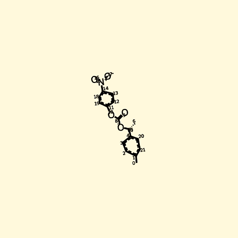 Cc1ccc([C@@H](C)OC(=O)Oc2ccc([N+](=O)[O-])cc2)cc1